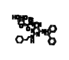 CCN(C(=O)[C@H]1OC[C@H](O)[C@@H]1O)n1cnc2c(NCC(c3ccccc3)c3ccccc3)nc(NCCC3CCCCC3)nc21